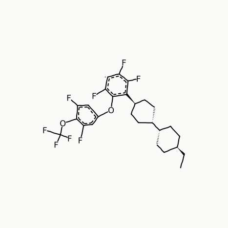 CC[C@H]1CC[C@H]([C@H]2CC[C@H](c3c(F)c(F)[c]c(F)c3Oc3cc(F)c(OC(F)(F)F)c(F)c3)CC2)CC1